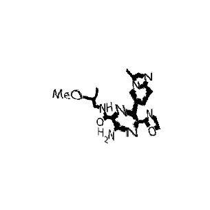 COC(C)CNC(=O)c1nc(-c2ccc3ncc(C)n3c2)c(-c2ncco2)nc1N